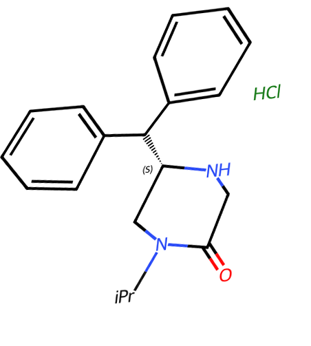 CC(C)N1C[C@H](C(c2ccccc2)c2ccccc2)NCC1=O.Cl